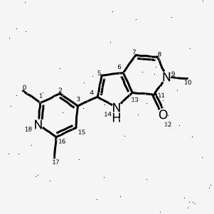 Cc1cc(-c2cc3ccn(C)c(=O)c3[nH]2)cc(C)n1